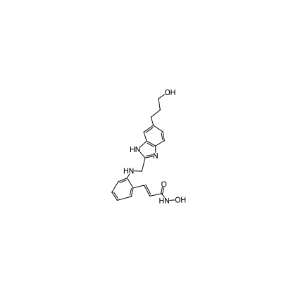 O=C(C=Cc1ccccc1NCc1nc2ccc(CCCO)cc2[nH]1)NO